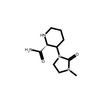 CN1CCN(C2CCCN[C@H]2C(N)=O)C1=O